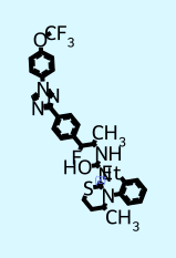 CCc1ccccc1N1/C(=N/C(O)NC(C)C(F)c2ccc(-c3ncn(-c4ccc(OC(F)(F)F)cc4)n3)cc2)SCCC1C